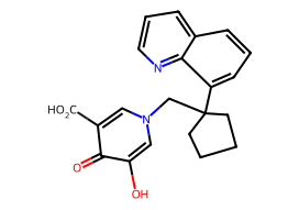 O=C(O)c1cn(CC2(c3cccc4cccnc34)CCCC2)cc(O)c1=O